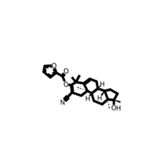 CC1(C)C2=CC[C@@H]3[C@H](CC[C@@]4(C)[C@H]3CC[C@]4(C)O)[C@@]2(C)CC(C#N)=C1OC(=O)c1ccco1